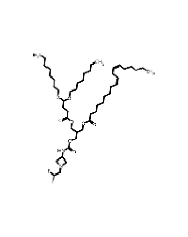 CCCCC/C=C\C/C=C\CCCCCCCC(=O)OCC(COC(=O)CCC(OCCCCCCCC)OCCCCCCCC)COC(=O)NC1CN(CC(F)F)C1